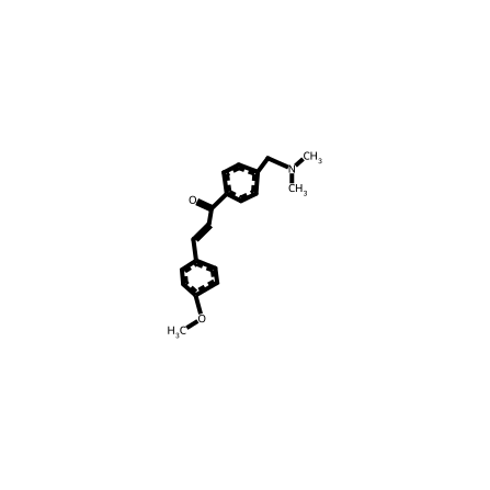 COc1ccc(C=CC(=O)c2ccc(CN(C)C)cc2)cc1